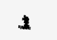 COc1cc(C2Cc3c(ccc(F)c3F)[N]2)cc(Cl)n1